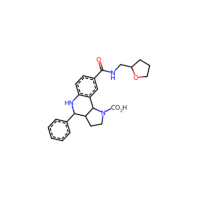 O=C(NCC1CCCO1)c1ccc2c(c1)C1C(CCN1C(=O)O)C(c1ccccc1)N2